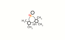 CCCC1c2cc(C)cc(C)c2CCP(=O)(c2ccccc2)CCc2c(C)cc(C)cc21